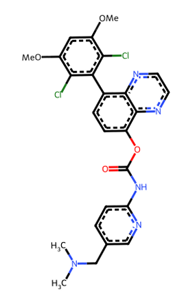 COc1cc(OC)c(Cl)c(-c2ccc(OC(=O)Nc3ccc(CN(C)C)cn3)c3nccnc23)c1Cl